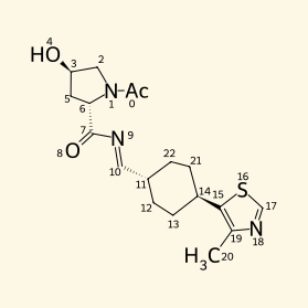 CC(=O)N1C[C@H](O)C[C@H]1C(=O)/N=C/[C@H]1CC[C@H](c2scnc2C)CC1